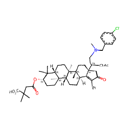 CC(=O)O[C@H](CN(C)Cc1ccc(Cl)cc1)[C@@]12CC[C@]3(C)[C@H](CC[C@@H]4[C@@]5(C)CC[C@H](OC(=O)CC(C)(C)C(=O)O)C(C)(C)[C@@H]5CC[C@]43C)C1=C(C(C)C)C(=O)C2